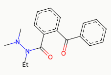 CCN(C(=O)c1ccccc1C(=O)c1ccccc1)N(C)C